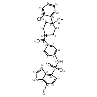 O=C(c1ccc(NS(=O)(=O)c2ccc(F)c3scnc23)cc1)N1CCC(O)(c2ccccc2Cl)CC1